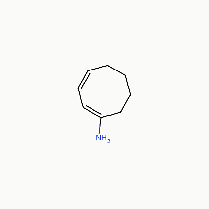 N/C1=C/C=C\CCCC1